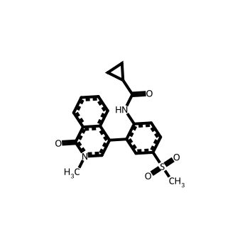 Cn1cc(-c2cc(S(C)(=O)=O)ccc2NC(=O)C2CC2)c2ccccc2c1=O